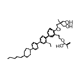 C=C(C)C(O)OCCc1cc(-c2ccc(-c3ccc(C4CCC(CCCCC)CC4)cc3)cc2CC)ccc1OCC(C)(CO)CO